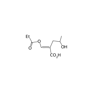 CCC(=O)OC=C(CC(C)O)C(=O)O